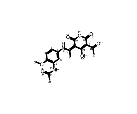 COc1ccc(N/C(C)=C2\C(=O)OC(=O)C(C(C)=O)=C2O)cc1NC(C)=O